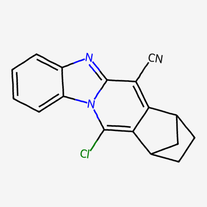 N#Cc1c2c(c(Cl)n3c1nc1ccccc13)C1CCC2C1